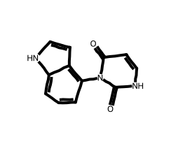 O=c1cc[nH]c(=O)n1-c1cccc2[nH]ccc12